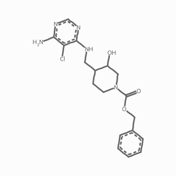 Nc1ncnc(NCC2CCN(C(=O)OCc3ccccc3)CC2O)c1Cl